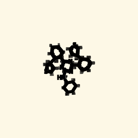 c1ccc(-c2nc(NC3CCCCC3)nc(-c3ccccc3-c3ccsc3)n2)c(-c2ccsc2)c1